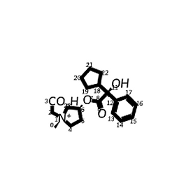 C[N@+]1(CC(=O)O)CC[C@@H](OC(=O)[C@@](O)(c2ccccc2)C2CCCC2)C1